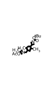 CC(=O)OC1(C)CN(Cc2cc(C)c(C3CN(C(=O)OC(C)(C)C)C3)cc2C)C1